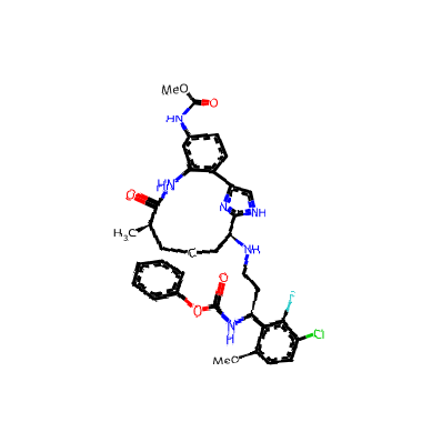 COC(=O)Nc1ccc2c(c1)NC(=O)[C@H](C)CCC[C@H](NCC[C@H](NC(=O)Oc1ccccc1)c1c(OC)ccc(Cl)c1F)c1nc-2c[nH]1